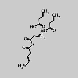 C=CCC(=O)O.C=CCC(=O)O.C=CCC(=O)OC(=O)CC=C[SiH3]